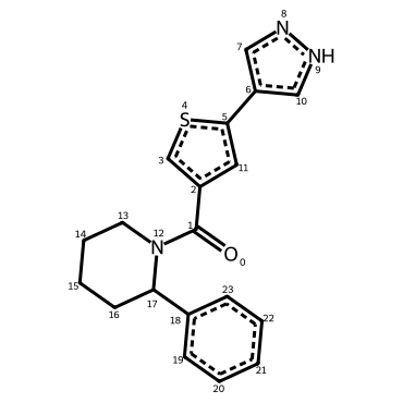 O=C(c1csc(-c2cn[nH]c2)c1)N1CCCCC1c1ccccc1